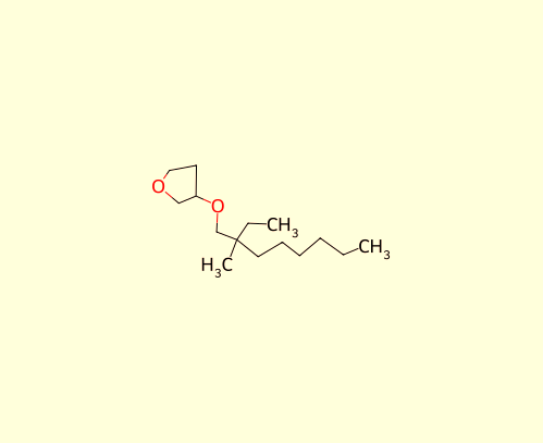 CCCCCCC(C)(CC)COC1CCOC1